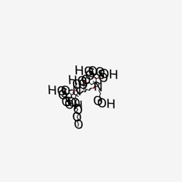 COCCOCCOCCOCCC1(C)C(/C=C/C=C/C=C/C=C2/N(CCCCCC(=O)O)c3ccc4c(S(=O)(=O)O)cc(S(=O)(=O)O)cc4c3C2(C)CCCS(=O)(=O)O)=[N+](CCOC)c2ccc3c(S(=O)(=O)O)cc(S(=O)(=O)O)cc3c21